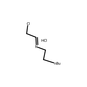 CCCCCCN=CCCl.Cl